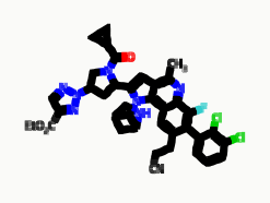 CCOC(=O)c1cnn(C2CC(c3cc4c(C)nc5c(F)c(-c6cccc(Cl)c6Cl)c(CCC#N)cc5c4n3C3C4CNC3C4)N(C(=O)C3CC3)C2)n1